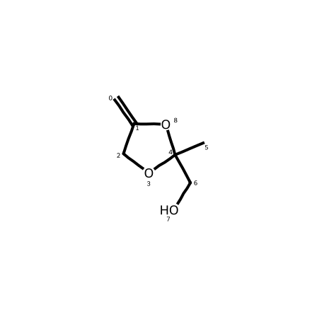 C=C1COC(C)(CO)O1